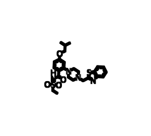 CCS(=O)(=O)NC(=O)c1ccc(OCC(C)C)cc1N1CCN(Cc2nc3ccccc3s2)CC1